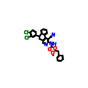 COC(Cc1ccccc1)OC(=O)Nc1ncc2c(c1C#N)-c1ccccc1C(c1ccc(Cl)c(Cl)c1)C2